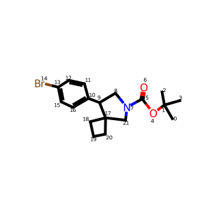 CC(C)(C)OC(=O)N1CC(c2ccc(Br)cc2)C2(CCC2)C1